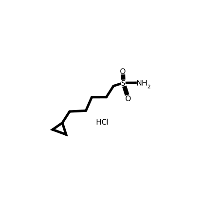 Cl.NS(=O)(=O)CCCCCC1CC1